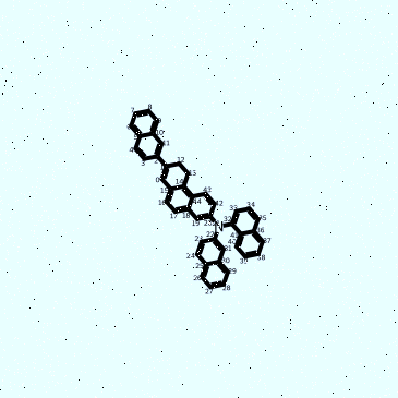 C1=C(c2ccc3ccccc3c2)CCc2c1ccc1cc(N(c3ccc4ccccc4c3)c3cccc4ccccc34)ccc21